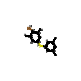 Cc1cc(C)cc(Sc2cc(C)c(Br)c(C)c2)c1